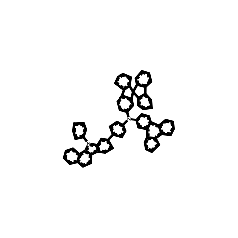 c1ccc(-n2c3cc(-c4ccc(N(c5ccc6c(c5)C5(c7ccccc7-c7ccccc75)c5ccccc5-6)c5ccc6c7ccccc7c7ccccc7c6c5)cc4)ccc3c3ccc4ccccc4c32)cc1